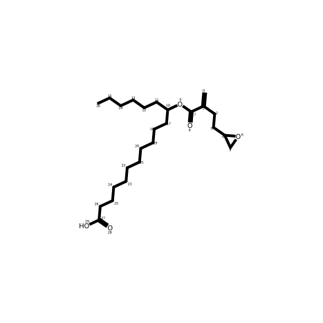 C=C(CCC1CO1)C(=O)OC(CCCCCC)CCCCCCCCCCC(=O)O